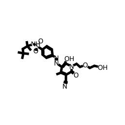 Cc1c(/N=N/c2ccc(S(=O)(=O)NC(C)(C)CC(C)(C)C)cc2)c(O)n(CCOCCO)c(=O)c1C#N